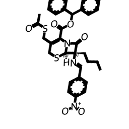 CCCC[C@]1(N=Cc2ccc([N+](=O)[O-])cc2)C(=O)N2C(C(=O)OC(c3ccccc3)c3ccccc3)=C(CSC(C)=O)CS[C@@H]21